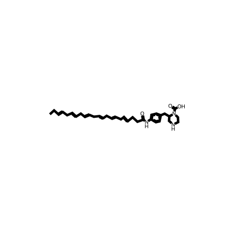 CCC=CCC=CCC=CCC=CCC=CCC=CCCC(=O)Nc1ccc(CC2CNCCN2C(=O)O)cc1